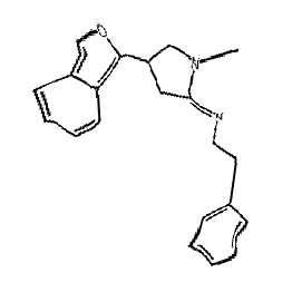 CN1CC(c2occ3ccccc23)CC1=NCCc1ccccc1